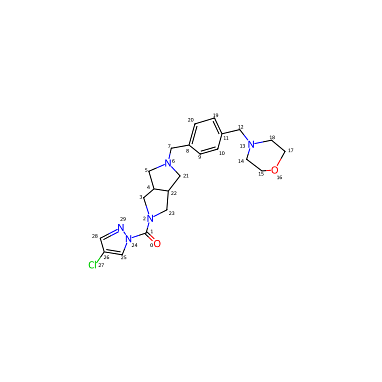 O=C(N1CC2CN(Cc3ccc(CN4CCOCC4)cc3)CC2C1)n1cc(Cl)cn1